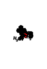 Cc1ccc(-c2ccccc2-c2ccc3c(c2)C2(c4ccccc4-c4ccc(-c5nc(C)cc(-c6cccc7ccccc67)n5)cc42)c2ccccc2-3)cn1